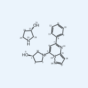 O[C@@H]1CCN(c2cc(-c3ccccc3)nc3ccnn23)C1.O[C@@H]1CCNC1